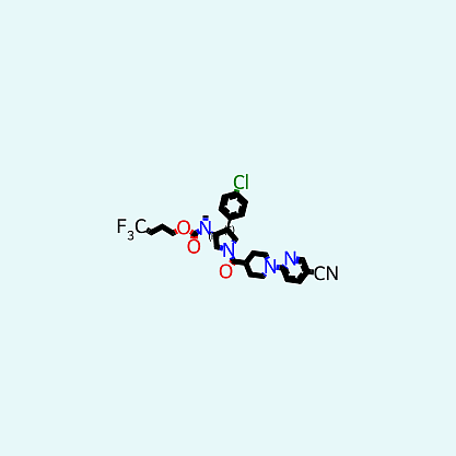 CN(C(=O)OCCCC(F)(F)F)[C@H]1CN(C(=O)C2CCN(c3ccc(C#N)cn3)CC2)C[C@@H]1c1ccc(Cl)cc1